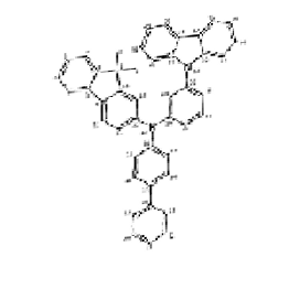 CC1(C)c2ccccc2-c2ccc(N(c3ccc(-c4ccccc4)cc3)c3cccc(-n4c5ccccc5c5ccccc54)c3)cc21